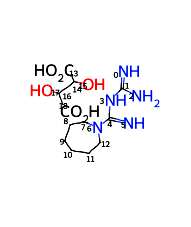 N=C(N)NC(=N)N1CCCCCC1.O=C(O)C(O)C(O)C(=O)O